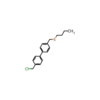 CCCCSCc1ccc(-c2ccc(CCl)cc2)cc1